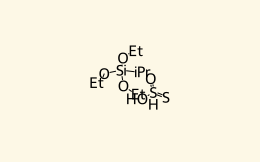 CCO[Si](OCC)(OCC)C(C)C.O=[SH](O)=S